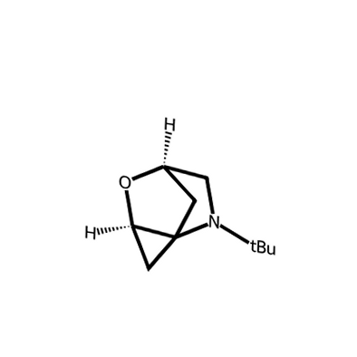 CC(C)(C)N1C[C@H]2CC13C[C@H]3O2